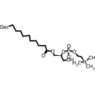 CCCCCCCCCCCCCCCCCCCC(=O)OC[C@H](CO)OP(=O)([O-])OCC[N+](C)(C)C